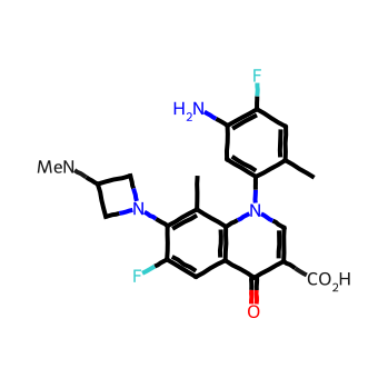 CNC1CN(c2c(F)cc3c(=O)c(C(=O)O)cn(-c4cc(N)c(F)cc4C)c3c2C)C1